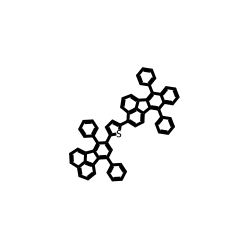 c1ccc(-c2cc(-c3ccc(-c4ccc5c6c(cccc46)-c4c-5c(-c5ccccc5)c5ccccc5c4-c4ccccc4)s3)c(-c3ccccc3)c3c2-c2cccc4cccc-3c24)cc1